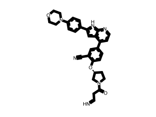 N#Cc1cc(-c2ccnc3[nH]c(-c4ccc(N5CCOCC5)cc4)cc23)ccc1O[C@@H]1CCN(C(=O)CC=N)C1